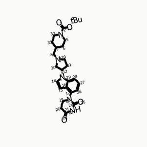 CC(C)(C)OC(=O)N1CCC(CN2CC[C@H](n3ccc4c(N5CCC(=O)NC5=O)cccc43)C2)CC1